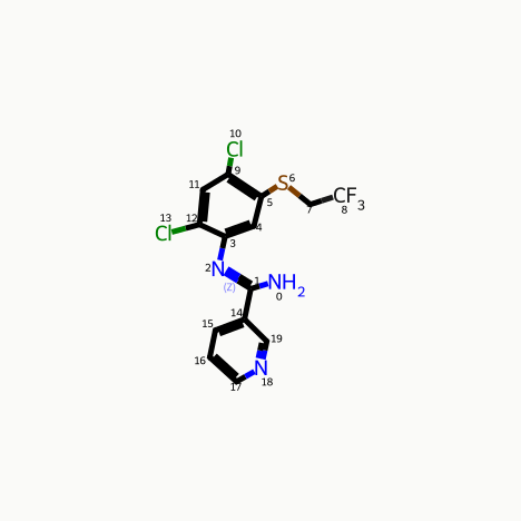 N/C(=N\c1cc(SCC(F)(F)F)c(Cl)cc1Cl)c1cccnc1